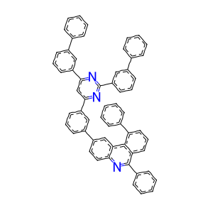 c1ccc(-c2cccc(-c3cc(-c4cccc(-c5ccc6nc(-c7ccccc7)c7cccc(-c8ccccc8)c7c6c5)c4)nc(-c4cccc(-c5ccccc5)c4)n3)c2)cc1